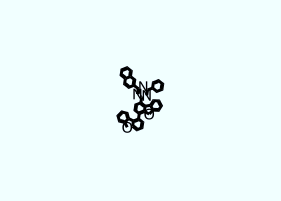 C1=CCC(c2nc(-c3ccc4ccccc4c3)nc(-c3ccc(-c4cccc5oc6ccccc6c45)c4oc5ccccc5c34)n2)C=C1